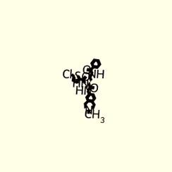 CN1CCc2ccc(NC(=O)[C@@H](CCNC(=O)c3ccccc3)NC(=O)c3ccc(Cl)s3)cc2CC1